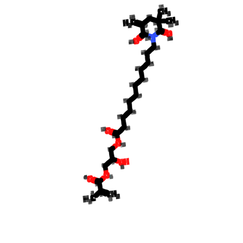 C=C(C)C(=O)OCC(O)COC(=O)CCCCCCCCCCCN1C(=O)C(=C)CC(C)(C)C1=O